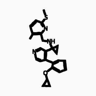 CSc1ccc(C)c(CNC2(c3cnccc3-c3ccccc3OC3CC3)CC2)n1